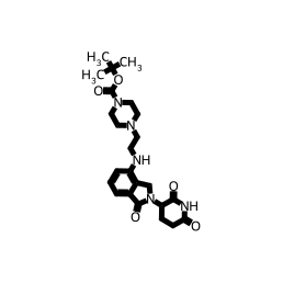 CC(C)(C)OC(=O)N1CCN(CCNc2cccc3c2CN(C2CCC(=O)NC2=O)C3=O)CC1